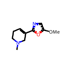 COc1cnc(C2=CCCN(C)C2)o1